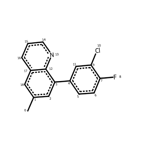 Cc1cc(-c2ccc(F)c(Cl)c2)c2ncccc2c1